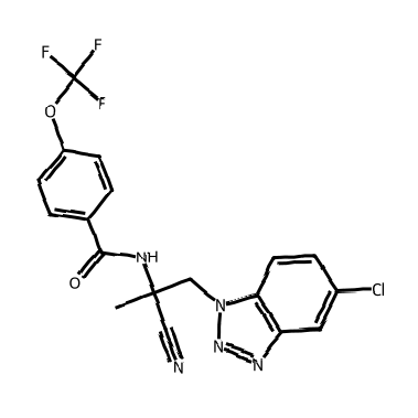 CC(C#N)(Cn1nnc2cc(Cl)ccc21)NC(=O)c1ccc(OC(F)(F)F)cc1